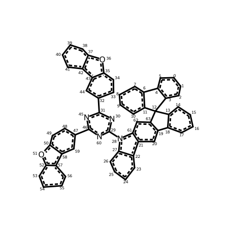 c1ccc2c(c1)-c1ccccc1C21c2ccccc2-c2cc3c4ccccc4n(-c4nc(-c5ccc6oc7ccccc7c6c5)nc(-c5ccc6oc7ccccc7c6c5)n4)c3cc21